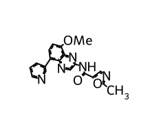 COc1ccc(-c2cccnc2)c2ncc(NC(=O)c3cnc(C)o3)nc12